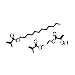 C=C(C)C(=O)OC.C=C(C)C(=O)OCCCCCCCCCCCC.C=C(O)C(=O)OCC